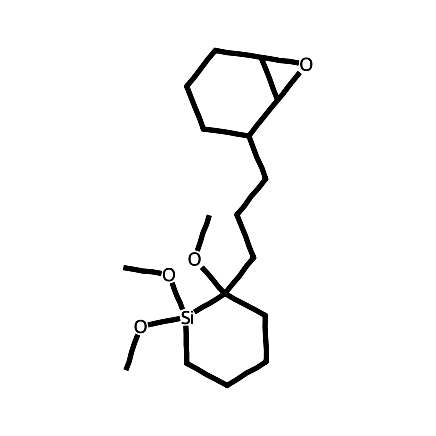 COC1(CCCC2CCCC3OC23)CCCC[Si]1(OC)OC